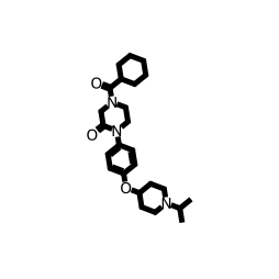 CC(C)N1CCC(Oc2ccc(N3CCN(C(=O)C4CCCCC4)CC3=O)cc2)CC1